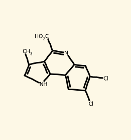 Cc1c[nH]c2c1c(C(=O)O)nc1cc(Cl)c(Cl)cc12